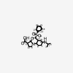 CC(C)NC1CCC(N2CCC(C(=O)O)C2=O)C(CS(=O)(=O)c2ccccc2)C1